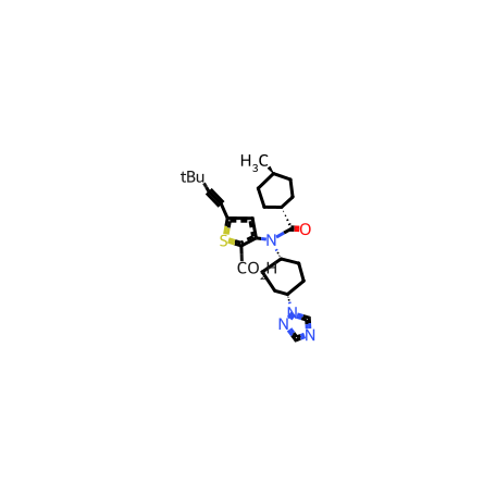 CC(C)(C)C#Cc1cc(N(C(=O)[C@H]2CC[C@H](C)CC2)[C@H]2CC[C@@H](n3cncn3)CC2)c(C(=O)O)s1